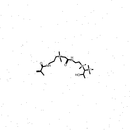 C=C(C)C(=O)NCCC[N+](C)(C)CC(=O)NCC[N+](C)(C)C(C(C)O)[N+](C)(C)C